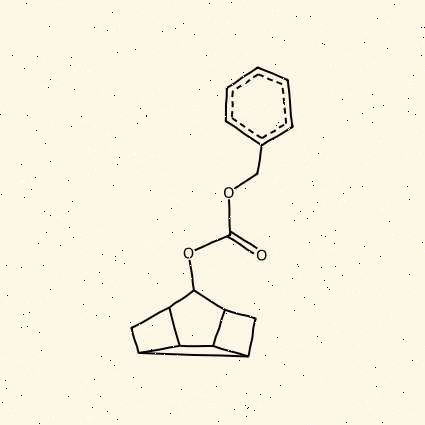 O=C(OCc1ccccc1)OC1C2CC3C4CC1C4C32